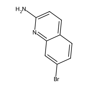 Nc1ccc2ccc(Br)cc2n1